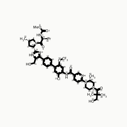 COC(=O)N[C@H](C(=O)N1C[C@@H](C)C[C@H]1c1nc(-c2ccc(-c3cc(Cl)c(NC(=O)c4ccc(N5CCN(C(=O)C(C)(C)CO)C[C@H]5C)nc4)cc3OC(F)(F)F)cc2)c(CO)[nH]1)C(C)C